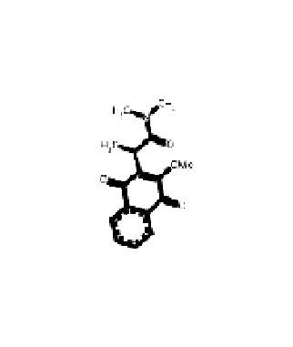 COC1=C(C(C)C(=O)N(C)C)C(=O)c2ccccc2C1=O